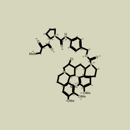 CCC1CN2CCc3cc(OC)c(OC)cc3C2CC1CC1c2cc(OC)c(OC)cc2CCN1C(=O)OCc1ccc(NC(=O)N2CCC[C@H]2C(=O)C(=O)CNC)cc1